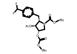 CC(=O)O[C@@H]1[C@@H](OC(=O)OC(C)(C)C)CN(C(=O)OC(C)(C)C)[C@@H]1Cc1ccc(C(F)F)cc1